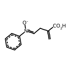 C=C(CC=[N+]([O-])c1ccccc1)C(=O)O